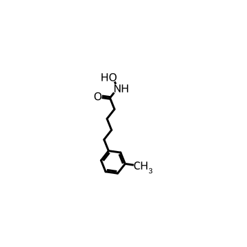 Cc1cccc(CCCCC(=O)NO)c1